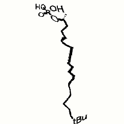 C[C@H](CCCCCCCCCCCCCCC(C)(C)C)OP(=O)(O)O